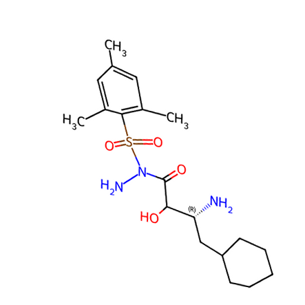 Cc1cc(C)c(S(=O)(=O)N(N)C(=O)C(O)[C@H](N)CC2CCCCC2)c(C)c1